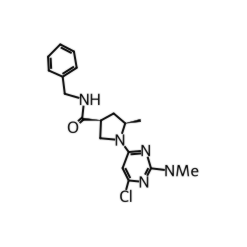 CNc1nc(Cl)cc(N2C[C@@H](C(=O)NCc3ccccc3)C[C@H]2C)n1